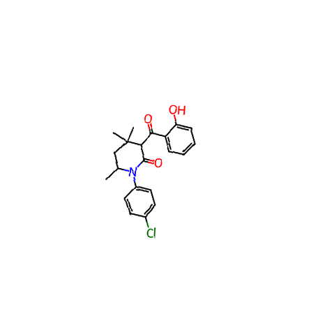 CC1CC(C)(C)C(C(=O)c2ccccc2O)C(=O)N1c1ccc(Cl)cc1